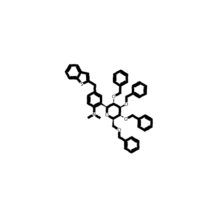 CN(C)c1ccc(Cc2cc3ccccc3s2)cc1[C@@H]1O[C@H](COCc2ccccc2)[C@@H](OCc2ccccc2)[C@H](OCc2ccccc2)[C@H]1OCc1ccccc1